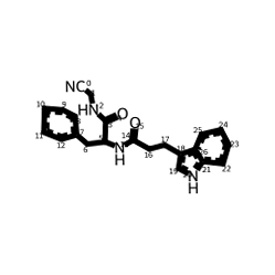 N#CCNC(=O)C(Cc1ccccc1)NC(=O)CCc1c[nH]c2ccccc12